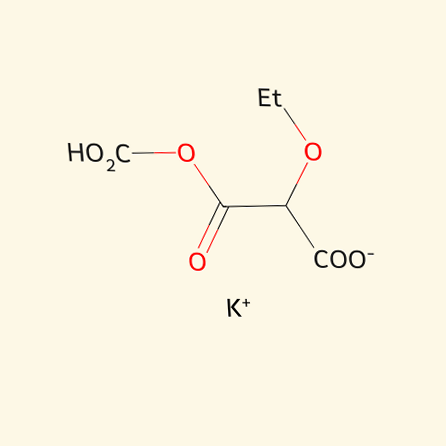 CCOC(C(=O)[O-])C(=O)OC(=O)O.[K+]